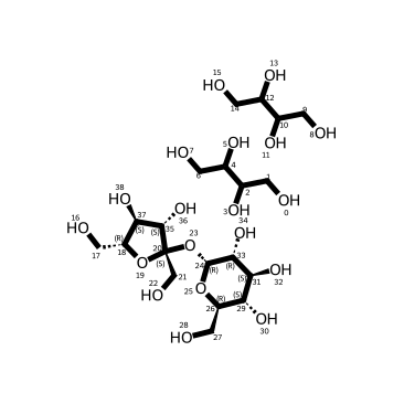 OCC(O)C(O)CO.OCC(O)C(O)CO.OC[C@H]1O[C@@](CO)(O[C@H]2O[C@H](CO)[C@@H](O)[C@H](O)[C@H]2O)[C@@H](O)[C@@H]1O